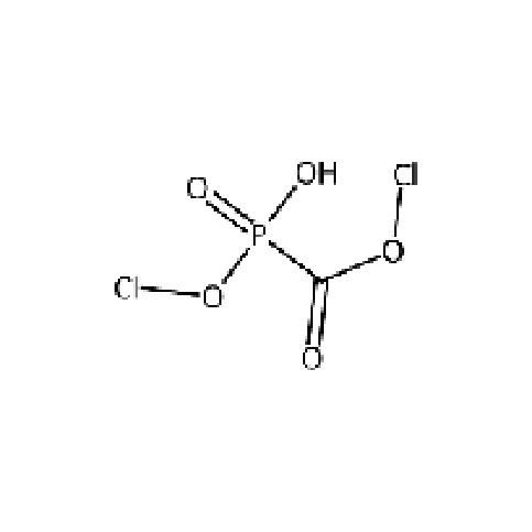 O=C(OCl)P(=O)(O)OCl